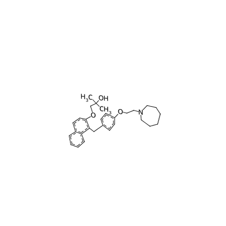 CC(C)(O)COc1ccc2ccccc2c1Cc1ccc(OCCN2CCCCCC2)cc1